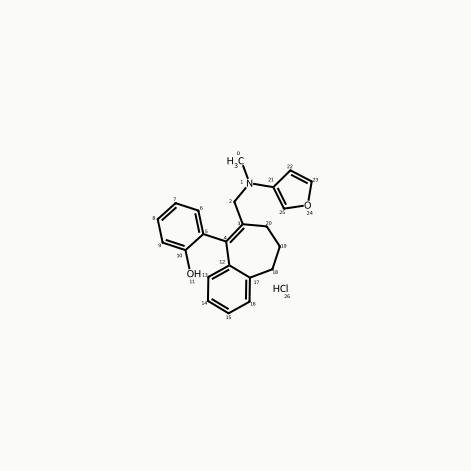 CN(CC1=C(c2ccccc2O)c2ccccc2CCC1)c1ccoc1.Cl